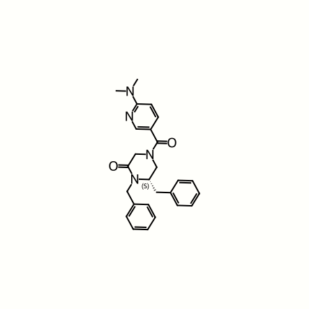 CN(C)c1ccc(C(=O)N2CC(=O)N(Cc3ccccc3)[C@@H](Cc3ccccc3)C2)cn1